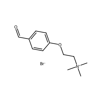 C[N+](C)(C)CCOc1ccc(C=O)cc1.[Br-]